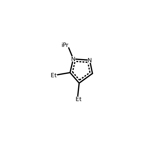 CCc1cnn(C(C)C)c1CC